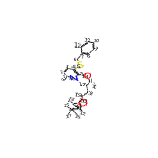 Cc1ccc(SCc2ccccc2)c(O[C@H](C)CCCO[Si](C)(C)C(C)(C)C)n1